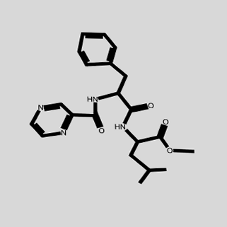 COC(=O)C(CC(C)C)NC(=O)C(Cc1ccccc1)NC(=O)c1cnccn1